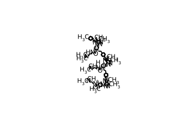 Cc1ccc(-n2nc3c(N4CC[C@@H](C(=O)NCCCN(C)C)[C@@H](CCc5ccc(-n6nc7c(N8CC[C@H](C(=O)NCCCN(C)C)[C@H](CCc9ccc(-n%10nc%11c(N%12CCC(C(=O)NCCCN(C)C)C(C)C%12)nnc(C)c%11c%10C)cc9)C8)nnc(C)c7c6C)cc5)C4)nnc(C)c3c2C)cc1